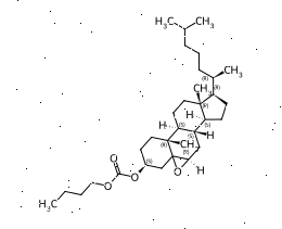 CCCCOC(=O)O[C@H]1CC[C@]2(C)[C@H]3CC[C@]4(C)[C@@H]([C@H](C)CCCC(C)C)CC[C@H]4[C@@H]3C[C@H]3OC32C1